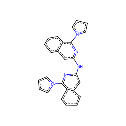 c1ccc2c(-n3cccc3)nc(Nc3cc4ccccc4c(-n4cccc4)n3)cc2c1